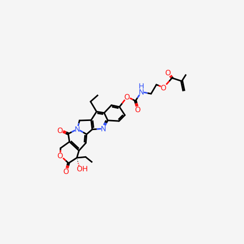 C=C(C)C(=O)OCCNC(=O)Oc1ccc2nc3c(c(CC)c2c1)Cn1c-3cc2c(c1=O)COC(=O)[C@]2(O)CC